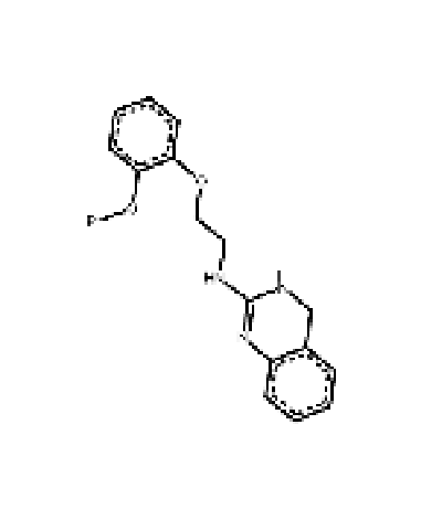 CC(C)Oc1ccccc1OCCNC1=Nc2ccccc2CN1